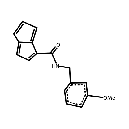 COc1cccc(CNC(=O)C2=CC=C3C=CC=C32)c1